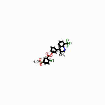 Cc1cnc2c(C(F)(F)F)cccc2c1-c1cccc(OC(=O)c2cc(S(C)(=O)=O)ccc2Cl)c1